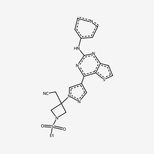 CCS(=O)(=O)N1CC(CC#N)(n2cc(-c3nc(Nc4ccncc4)nc4ccsc34)cn2)C1